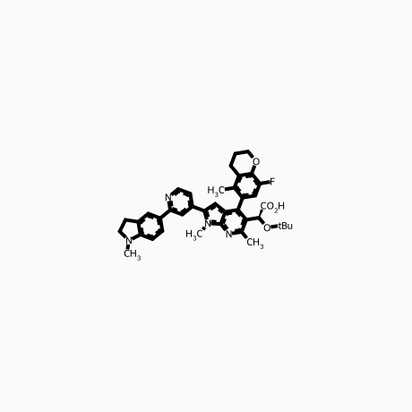 Cc1nc2c(cc(-c3ccnc(-c4ccc5c(c4)CCN5C)c3)n2C)c(-c2cc(F)c3c(c2C)CCCO3)c1[C@H](OC(C)(C)C)C(=O)O